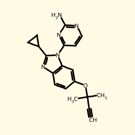 C#CC(C)(C)Oc1ccc2nc(C3CC3)n(-c3ccnc(N)n3)c2c1